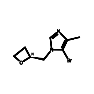 Cc1ncn(C[C@@H]2CCO2)c1Br